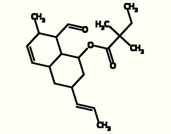 C/C=C/C1CC2C=CC(C)C(C=O)C2C(OC(=O)C(C)(C)CC)C1